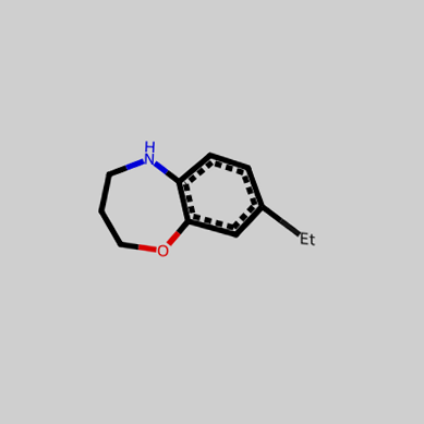 CCc1ccc2c(c1)OCCCN2